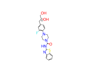 O=C(Nc1nc2ccccc2s1)N1CCN(c2ccc(C[C@H](O)CO)cc2F)CC1